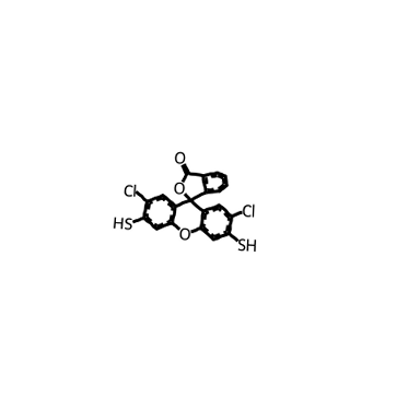 O=C1OC2(c3cc(Cl)c(S)cc3Oc3cc(S)c(Cl)cc32)c2ccccc21